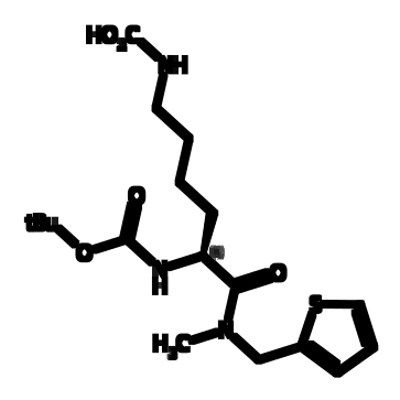 CN(Cc1cccs1)C(=O)[C@H](CCCCNC(=O)O)NC(=O)OC(C)(C)C